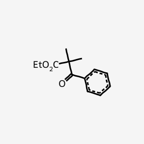 CCOC(=O)C(C)(C)C(=O)c1ccccc1